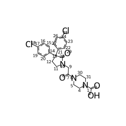 O=C(O)N1CCN(C(=O)CN2CCC(c3ccc(Cl)cc3)(c3ccc(Cl)cc3)C2=O)CC1